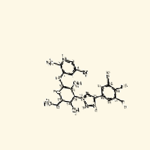 N#Cc1ncc(Br)cc1SC1OC(CO)C(O)C(n2cc(-c3cc(F)c(F)c(F)c3)nn2)C1O